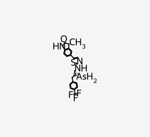 CC1C(=O)Nc2ccc(-c3cnc(NC[C@@H]([AsH2])Cc4ccc(C(F)(F)F)cc4)s3)cc21